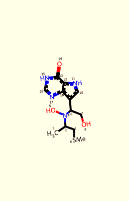 CSCC(C)N(O)C(CO)c1c[nH]c2c(=O)[nH]cnc12